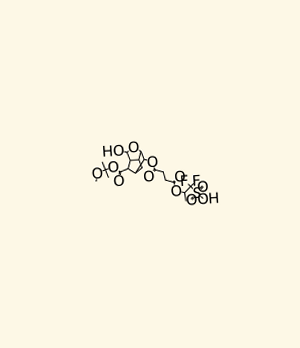 COC(C)(C)OC(=O)C1C2CC3C(OC(O)C31)C2OC(=O)CCC(=O)OC(C)C(F)(F)S(=O)(=O)O